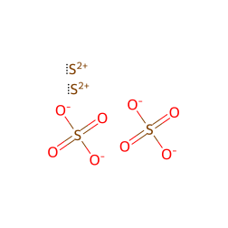 O=S(=O)([O-])[O-].O=S(=O)([O-])[O-].[S+2].[S+2]